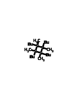 CCC(C)[Si]1(C)[Si](C)(C(C)CC)[Si](C)(C(C)CC)[Si]1(C)C(C)CC